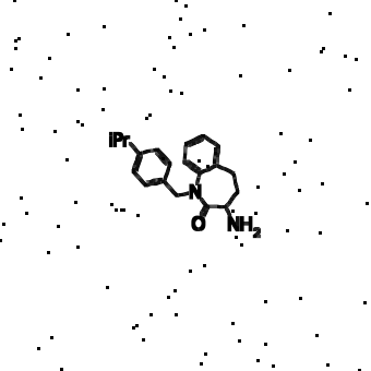 CC(C)c1ccc(CN2C(=O)C(N)CCc3ccccc32)cc1